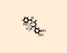 CC(CC(c1ccc(O)c(O)c1)[C@H](N)C(=O)O)OC(=O)c1ccccc1